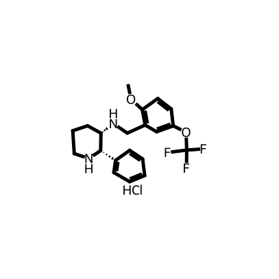 COc1ccc(OC(F)(F)F)cc1CN[C@H]1CCCN[C@H]1c1ccccc1.Cl